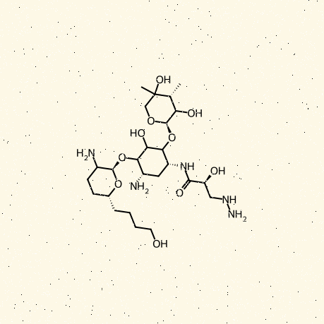 C[C@@H]1C(O)[C@@H](OC2C(O)C(O[C@H]3O[C@H](CCCCO)CCC3N)[C@@H](N)C[C@H]2NC(=O)[C@@H](O)CNN)OCC1(C)O